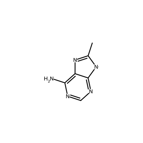 CC1=Nc2c(N)ncnc2[N]1